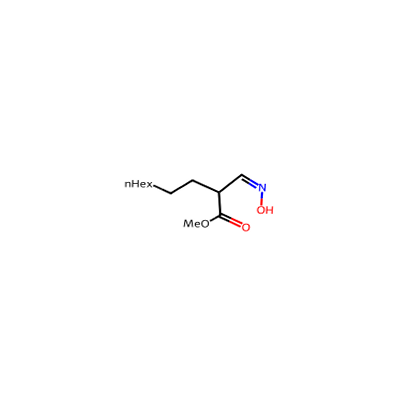 CCCCCCCCC(/C=N\O)C(=O)OC